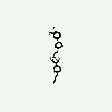 C=CCC[C@H]1CC[C@H](C2COC(CC[C@H]3CC[C@H](c4ccc(F)c(F)c4)CC3)OC2)CC1